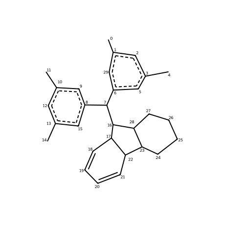 Cc1cc(C)cc(C(c2cc(C)cc(C)c2)C2C3C=CC=CC3C3CCCCC32)c1